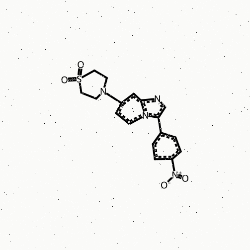 O=[N+]([O-])c1ccc(-c2cnc3cc(N4CCS(=O)(=O)CC4)ccn23)cc1